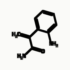 C=C(C(N)=O)c1ccccc1N